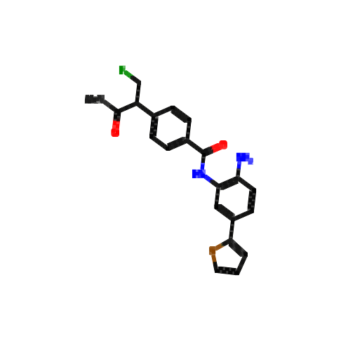 CNC(=O)C(CF)c1ccc(C(=O)Nc2cc(-c3cccs3)ccc2N)cc1